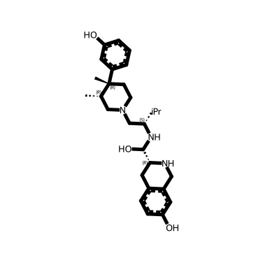 CC(C)[C@@H](CN1CC[C@@](C)(c2cccc(O)c2)[C@@H](C)C1)NC(O)[C@H]1Cc2ccc(O)cc2CN1